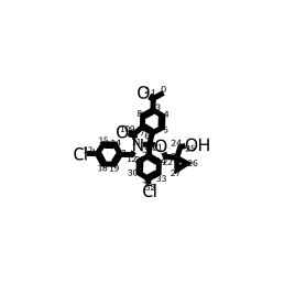 CC(=O)c1ccc2c(c1)C(=O)N(Cc1ccc(Cl)cc1)C2(OCC1(CO)CC1)c1ccc(Cl)cc1